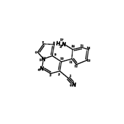 N#Cc1cnn2cccc2c1-c1ccccc1N